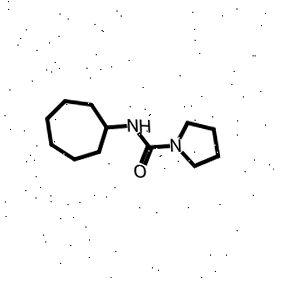 O=C(NC1CCCCCC1)N1CCCC1